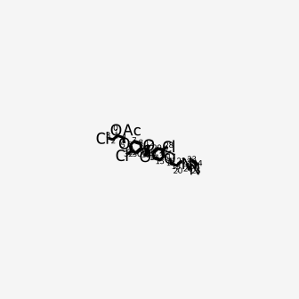 CC(=O)O[C@@H](CCl)COc1ccc(S(=O)(=O)c2ccc(OC[C@@H](C)Cn3ccnc3)c(Cl)c2)cc1Cl